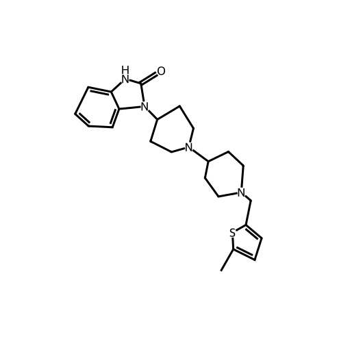 Cc1ccc(CN2CCC(N3CCC(n4c(=O)[nH]c5ccccc54)CC3)CC2)s1